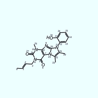 C/C=C/Cn1c(=O)c2c(nc3n(-c4ccccc4O)c(C)c(C)n23)n(C)c1=O